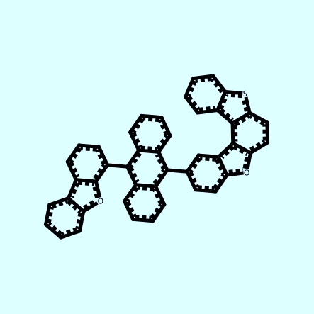 c1ccc2c(c1)oc1c(-c3c4ccccc4c(-c4ccc5oc6ccc7sc8ccccc8c7c6c5c4)c4ccccc34)cccc12